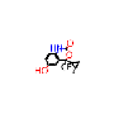 O=C1Nc2ccc(O)cc2C(C2CC2)(C(F)(F)F)O1